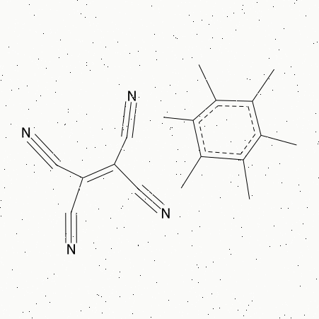 Cc1c(C)c(C)c(C)c(C)c1C.N#CC(C#N)=C(C#N)C#N